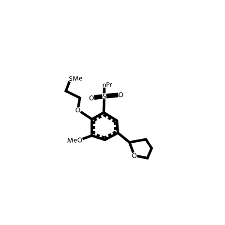 CCCS(=O)(=O)c1cc(C2CCCO2)cc(OC)c1OCCSC